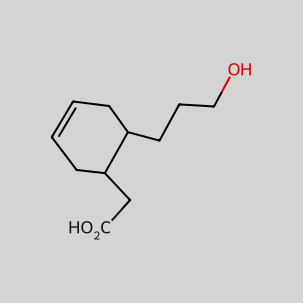 O=C(O)CC1CC=CCC1CCCO